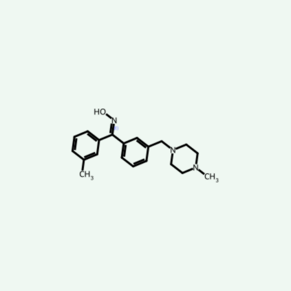 Cc1cccc(/C(=N\O)c2cccc(CN3CCN(C)CC3)c2)c1